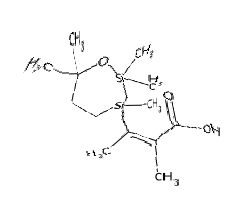 CC(C(=O)O)=C(C)[Si]1(C)CCC(C)(C)O[Si]1(C)C